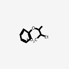 CCC(C(=O)O)C(C)Oc1ccccc1